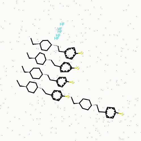 CC[C@H]1CC[C@H](CCc2ccc([S])cc2)CC1.CC[C@H]1CC[C@H](CCc2ccc([S])cc2)CC1.CC[C@H]1CC[C@H](CCc2ccc([S])cc2)CC1.CC[C@H]1CC[C@H](CCc2ccc([S])cc2)CC1.CC[C@H]1CC[C@H](CCc2ccc([S])cc2)CC1.F.F.F.F.F